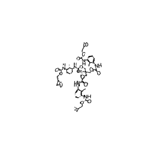 CCC(COC(=O)Nc1cccc(NC(=O)OCC2CO2)c1C)(COC(=O)Nc1cccc(NC(=O)OCC2CO2)c1C)COC(=O)Nc1cccc(NC(=O)OCC2CO2)c1C